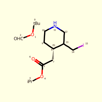 CC(C)(C)OC=O.CC(C)OC(=O)C[C@@H]1CCNCC1CI